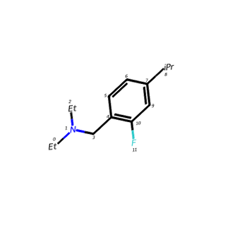 CCN(CC)Cc1ccc(C(C)C)cc1F